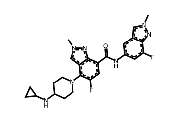 Cn1cc2cc(NC(=O)c3cc(F)c(N4CCC(NC5CC5)CC4)c4cn(C)nc34)cc(F)c2n1